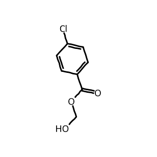 O=C(OCO)c1ccc(Cl)cc1